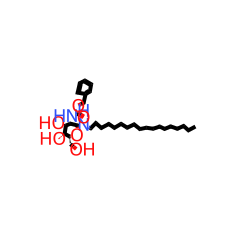 CCCCCCCCCCCCCCCCCCN[C@@H]1O[C@H](CO)[C@H](O)[C@H](O)[C@H]1NC(=O)OCc1ccccc1